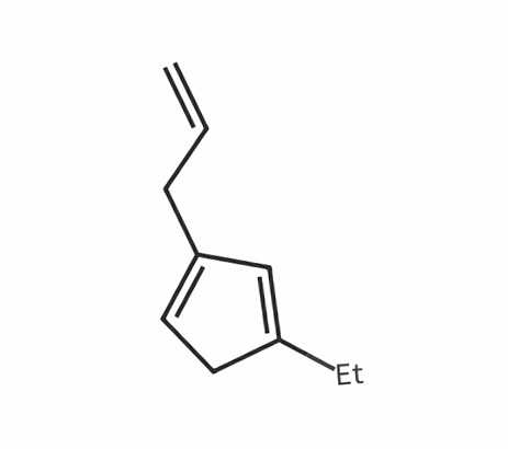 C=CCC1=CCC(CC)=C1